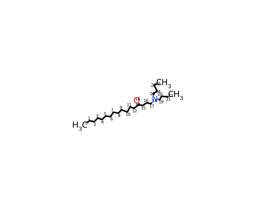 CCCCCCCCCCCCCC(=O)CCCN(CCCC)CCCC